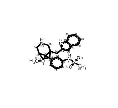 COC1(c2cccc(NS(C)(=O)=O)c2)C2CCC1(Cc1cc3ccccc3o1)CNC2